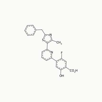 Cc1nc(Cc2ccccc2)sc1-c1cccc(-c2cc(O)c(C(=O)O)cc2F)n1